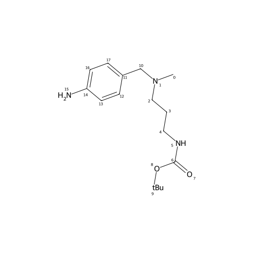 CN(CCCNC(=O)OC(C)(C)C)Cc1ccc(N)cc1